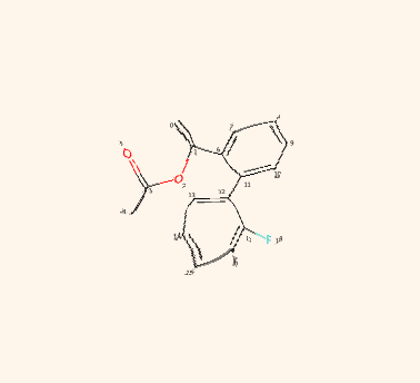 C=C(OC(C)=O)c1ccccc1-c1ccccc1F